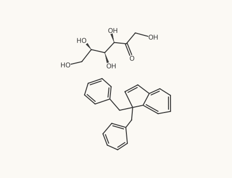 C1=CC(Cc2ccccc2)(Cc2ccccc2)c2ccccc21.O=C(CO)[C@H](O)[C@@H](O)[C@H](O)CO